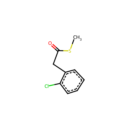 CSC(=O)Cc1ccccc1Cl